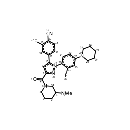 CNC1CCCN(C(=O)c2cc(-c3ccc(C#N)c(F)c3)n(-c3ccc(N4CCCCC4)cc3F)n2)C1